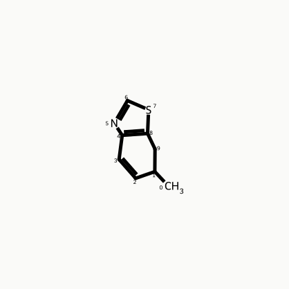 CC1C=Cc2ncsc2C1